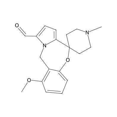 COc1cccc2c1Cn1c(C=O)ccc1C1(CCN(C)CC1)O2